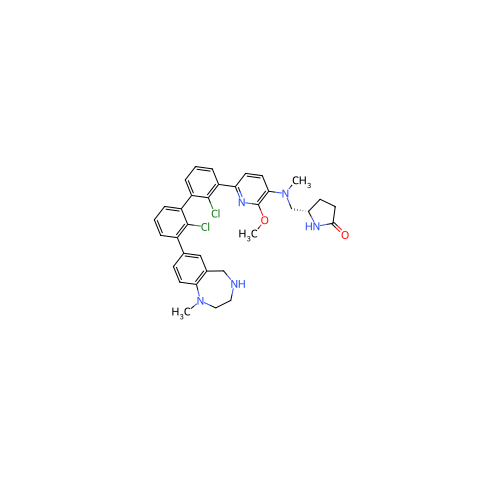 COc1nc(-c2cccc(-c3cccc(-c4ccc5c(c4)CNCCN5C)c3Cl)c2Cl)ccc1N(C)C[C@@H]1CCC(=O)N1